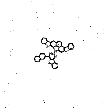 c1ccc2cc(-c3nc(-n4c5cc6sc7ccccc7c6c6ccc7cc8c9ccccc9sc8c4c7c65)nc4c3sc3ccccc34)ccc2c1